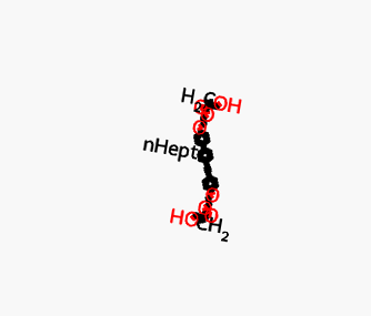 C=C(CO)C(=O)OCCOc1ccc(C#Cc2ccc(-c3ccc(OCCOC(=O)C(=C)CO)cc3)c(CCCCCCC)c2)cc1